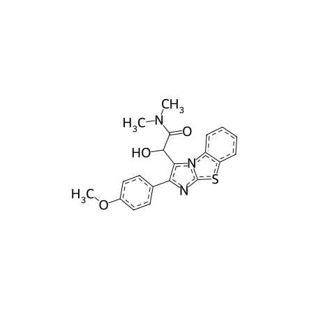 COc1ccc(-c2nc3sc4ccccc4n3c2C(O)C(=O)N(C)C)cc1